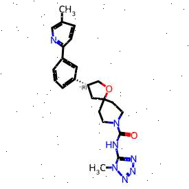 Cc1ccc(-c2cccc([C@@H]3COC4(CCN(C(=O)Nc5nnnn5C)CC4)C3)c2)nc1